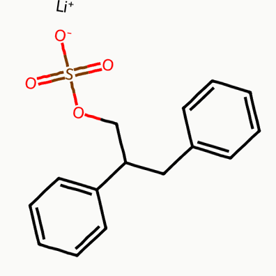 O=S(=O)([O-])OCC(Cc1ccccc1)c1ccccc1.[Li+]